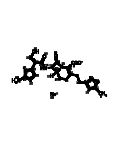 Cc1nnc(SCC2=C(C(=O)[O-])N3C(=O)[C@@H](NC(=O)/C(=N\O)c4csc(N)n4)[C@H]3SC2)s1.[Na+]